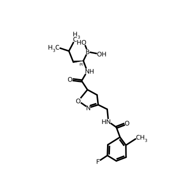 Cc1ccc(F)cc1C(=O)NCC1=NOC(C(=O)N[C@@H](CC(C)C)B(O)O)C1